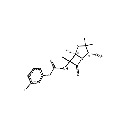 CC1(C)S[C@H]2N(C(=O)C2(C)NC(=O)Cc2cccc(F)c2)[C@H]1C(=O)O